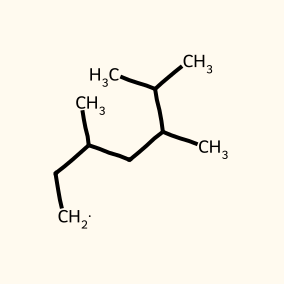 [CH2]CC(C)CC(C)C(C)C